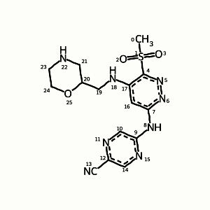 CS(=O)(=O)c1nnc(Nc2cnc(C#N)cn2)cc1NCC1CNCCO1